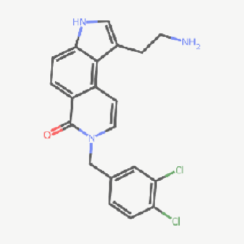 NCCc1c[nH]c2ccc3c(=O)n(Cc4ccc(Cl)c(Cl)c4)ccc3c12